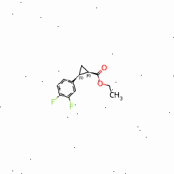 CCOC(=O)[C@@H]1C[C@@H]1c1ccc(F)c(F)c1